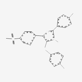 Cn1c(-c2ccc(Cl)cc2)nc(-c2ccc(S(C)(=O)=O)cc2)c1Sc1ccc(Cl)cc1